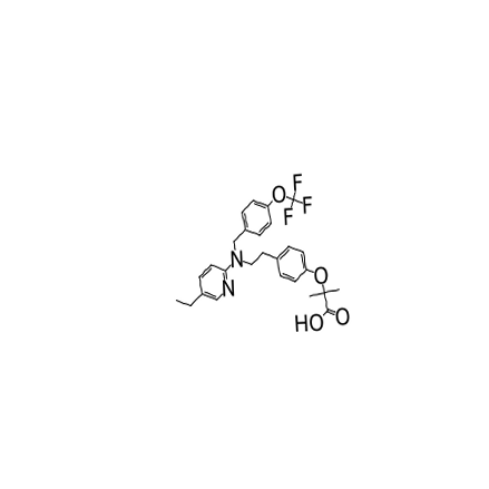 CCc1ccc(N(CCc2ccc(OC(C)(C)C(=O)O)cc2)Cc2ccc(OC(F)(F)F)cc2)nc1